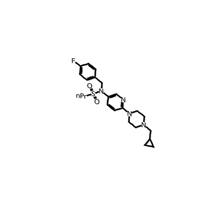 CCCS(=O)(=O)N(Cc1ccc(F)cc1)c1ccc(N2CCN(CC3CC3)CC2)nc1